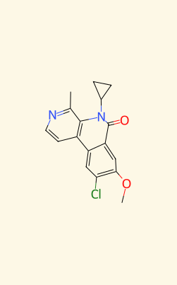 COc1cc2c(=O)n(C3CC3)c3c(C)nccc3c2cc1Cl